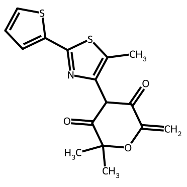 C=C1OC(C)(C)C(=O)C(c2nc(-c3cccs3)sc2C)C1=O